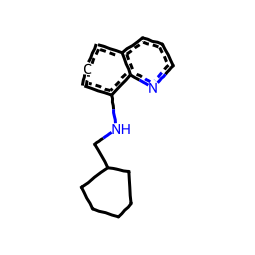 c1cnc2c(NCC3CCCCC3)cccc2c1